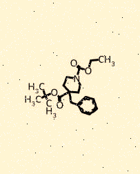 CCOC(=O)N1CCC(Cc2ccccc2)(C(=O)OC(C)(C)C)CC1